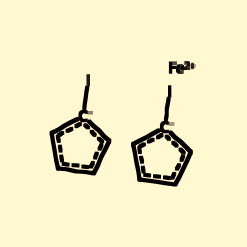 I[c-]1cccc1.I[c-]1cccc1.[Fe+2]